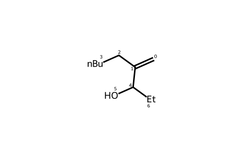 C=C(CCCCC)C(O)CC